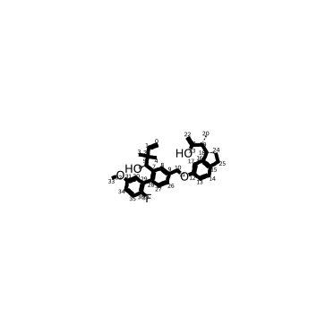 C=CC(C)(C)[C@@H](O)c1cc(COc2ccc3c(c2)[C@H]([C@@H](C)C(=C)O)CC3)ccc1-c1cc(OC)ccc1F